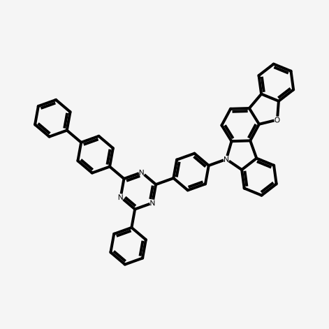 c1ccc(-c2ccc(-c3nc(-c4ccccc4)nc(-c4ccc(-n5c6ccccc6c6c7oc8ccccc8c7ccc65)cc4)n3)cc2)cc1